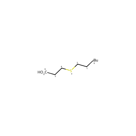 CCC(C)CCSCCC(=O)O